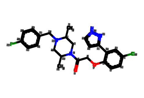 CC1CN(C(=O)COc2ccc(Cl)cc2-c2cc[nH]n2)C(C)CN1Cc1ccc(F)cc1